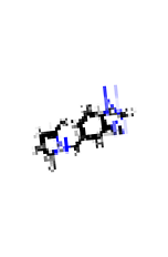 Cc1[c]cc(C)n1Cc1ccc2[nH]cnc2c1